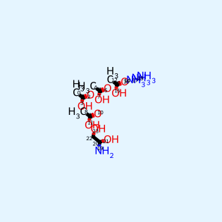 CC(=O)O.CC(=O)O.CC(=O)O.CC(=O)O.N.N.N.NC(O)CO